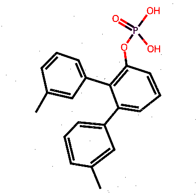 Cc1cccc(-c2cccc(OP(=O)(O)O)c2-c2cccc(C)c2)c1